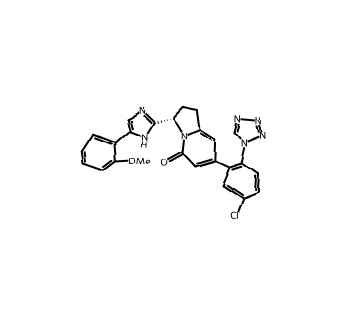 COc1ccccc1-c1cnc([C@@H]2CCc3cc(-c4cc(Cl)ccc4-n4cnnn4)cc(=O)n32)[nH]1